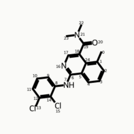 Cc1cccc2c(Nc3cccc(Cl)c3Cl)ncc(C(=O)N(C)C)c12